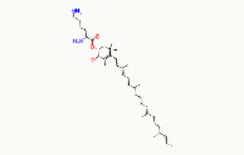 C/C=C/C(C)=C/C=C/C(C)=C/C=C/C=C(C)/C=C/C=C(C)/C=C/C1=C(C)C(=O)C(OC(=O)C(N)CCCCN)CC1(C)C